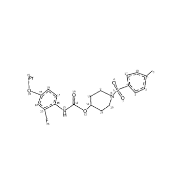 Cc1ccc(S(=O)(=O)N2CCC(OC(=O)Nc3ccc(OC(C)C)cc3F)CC2)cc1